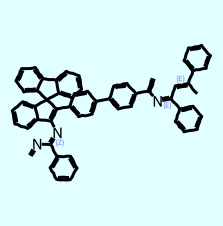 C=N/C(=N\C1=C(c2ccc(-c3ccc(C(=C)/N=C(\C=C(/C)c4ccccc4)c4ccccc4)cc3)cc2)C2(c3ccccc31)c1ccccc1-c1ccccc12)c1ccccc1